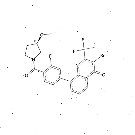 CO[C@@H]1CCN(C(=O)c2ccc(-c3cccn4c(=O)c(Br)c(C(F)(F)F)nc34)cc2F)C1